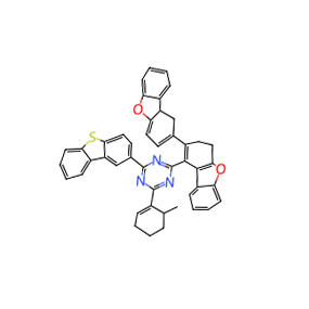 CC1CCCC=C1c1nc(C2=C(C3=CC=C4Oc5ccccc5C4C3)CCc3oc4ccccc4c32)nc(-c2ccc3sc4ccccc4c3c2)n1